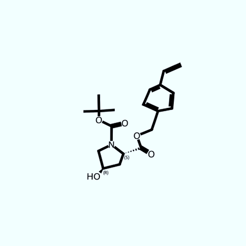 C=Cc1ccc(COC(=O)[C@@H]2C[C@@H](O)CN2C(=O)OC(C)(C)C)cc1